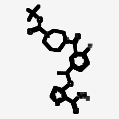 CC(Oc1ccsc1C(N)=O)c1ccc(F)c(C(=O)N2CCCN(C(=O)OC(C)(C)C)CC2)c1